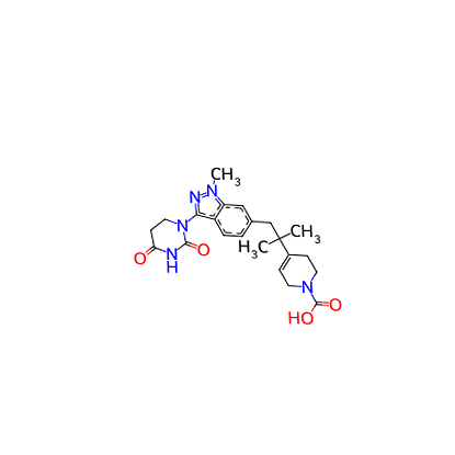 Cn1nc(N2CCC(=O)NC2=O)c2ccc(CC(C)(C)C3=CCN(C(=O)O)CC3)cc21